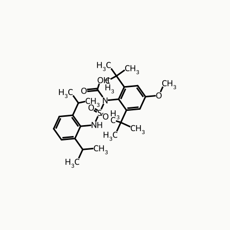 COc1cc(C(C)(C)C)c(N(C(=O)O)S(=O)(=O)Nc2c(C(C)C)cccc2C(C)C)c(C(C)(C)C)c1